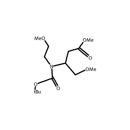 COCCN(C(=O)OC(C)(C)C)C(COC)CC(=O)OC